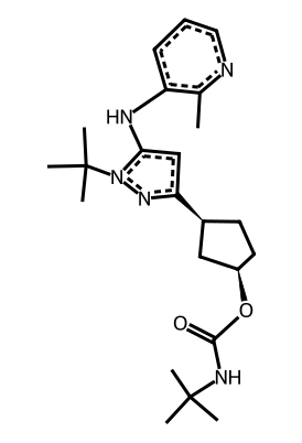 Cc1ncccc1Nc1cc([C@H]2CC[C@@H](OC(=O)NC(C)(C)C)C2)nn1C(C)(C)C